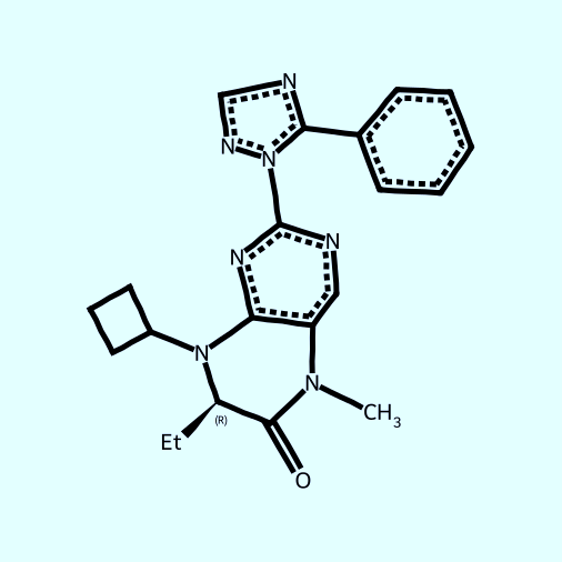 CC[C@@H]1C(=O)N(C)c2cnc(-n3ncnc3-c3ccccc3)nc2N1C1CCC1